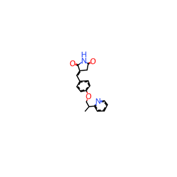 CC(COc1ccc(/C=C2\CC(=O)NC2=O)cc1)c1ccccn1